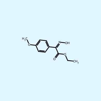 CCOC(=O)/C(=N\O)c1ccc(OC)cc1